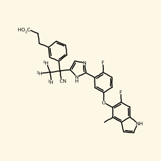 [2H]C([2H])([2H])C(C#N)(c1cccc(CCC(=O)O)c1)c1cnc(-c2cc(Oc3c(F)cc4[nH]ccc4c3C)ccc2F)[nH]1